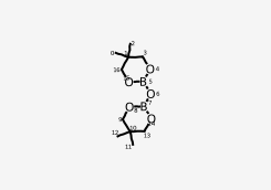 CC1(C)COB(OB2OCC(C)(C)CO2)OC1